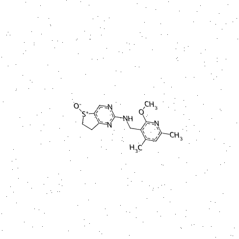 COc1nc(C)cc(C)c1CNc1ncc2c(n1)CC[S+]2[O-]